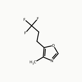 Cc1ncoc1CCC(F)(F)F